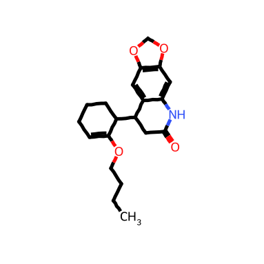 CCCCOC1=CCCCC1C1CC(=O)Nc2cc3c(cc21)OCO3